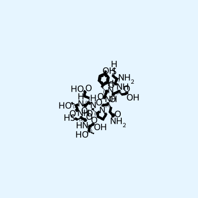 C[C@@H](O)[C@H](NC(=O)[C@@H](CS)NC(=O)[C@H](CO)NC(=O)[C@H](CCC(=O)O)NC(=O)[C@H]1CCCN1C(=O)[C@@H](CCC(N)=O)NC(=O)[C@H](Cc1ccc(O)cc1)NC(=O)[C@H](CC(=O)O)NC(=O)[C@@H](N)CS)C(=O)O